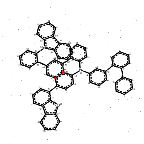 c1ccc(-c2ccccc2-c2cccc(N(c3ccc(-c4cccc5c4oc4ccccc45)cc3)c3ccccc3-c3cccc(-c4ccccc4-n4c5ccccc5c5ccccc54)c3)c2)cc1